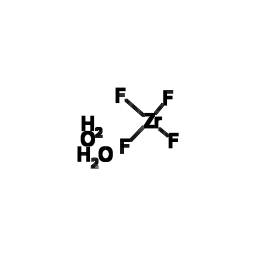 O.O.[F][Zr]([F])([F])[F]